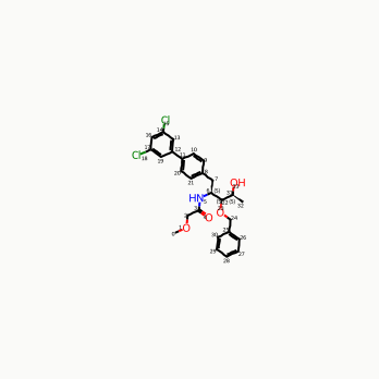 COCC(=O)N[C@@H](Cc1ccc(-c2cc(Cl)cc(Cl)c2)cc1)[C@H](OCc1ccccc1)[C@H](C)O